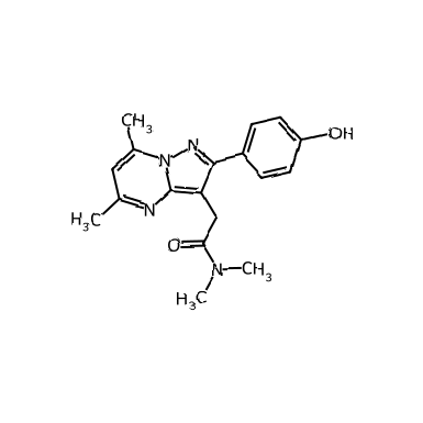 Cc1cc(C)n2nc(-c3ccc(O)cc3)c(CC(=O)N(C)C)c2n1